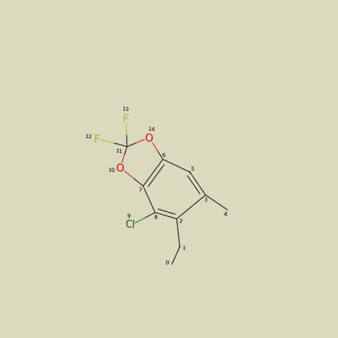 CCc1c(C)cc2c(c1Cl)OC(F)(F)O2